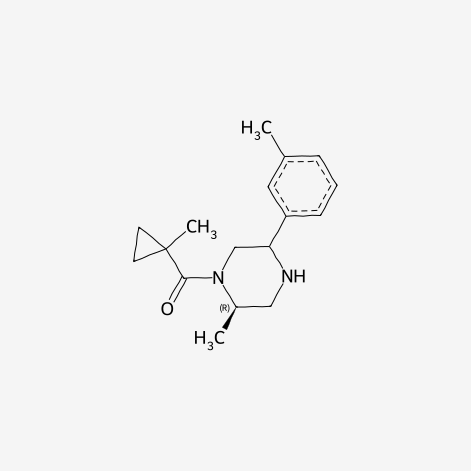 Cc1cccc(C2CN(C(=O)C3(C)CC3)[C@H](C)CN2)c1